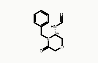 O=CN[C@@H]1COCC(=O)N1Cc1ccccc1